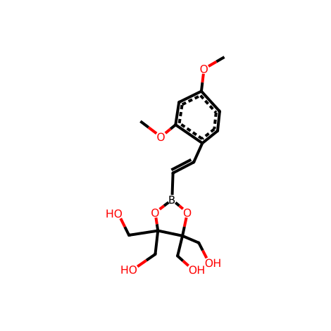 COc1ccc(C=CB2OC(CO)(CO)C(CO)(CO)O2)c(OC)c1